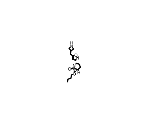 CCCCON1C(=O)N2C[C@@H]1CC[C@H]2c1cc(CC2CNC2)on1